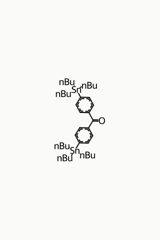 CCC[CH2][Sn]([CH2]CCC)([CH2]CCC)[c]1ccc(C(=O)c2cc[c]([Sn]([CH2]CCC)([CH2]CCC)[CH2]CCC)cc2)cc1